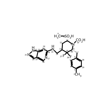 CS(=O)(=O)O.Cc1ccc(C[C@H]2N(C(=O)O)CCC(CNc3ncc4cn[nH]c4n3)C2(F)F)cc1